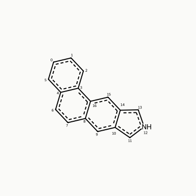 c1ccc2c(c1)ccc1cc3c[nH]cc3cc12